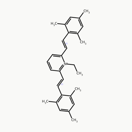 CC[n+]1c(/C=C/c2c(C)cc(C)cc2C)cccc1/C=C/c1c(C)cc(C)cc1C